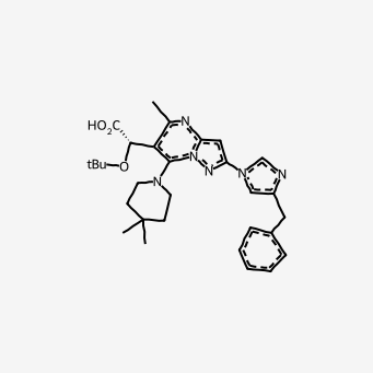 Cc1nc2cc(-n3cnc(Cc4ccccc4)c3)nn2c(N2CCC(C)(C)CC2)c1[C@H](OC(C)(C)C)C(=O)O